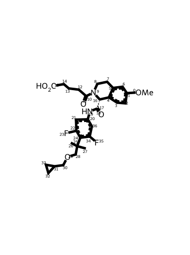 COc1ccc2c(c1)CCN(C(=O)CCCC(=O)O)[C@H]2C(=O)Nc1cc(F)c(C(C)(C)COCC2CC2)c(F)c1